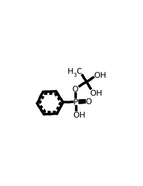 CC(O)(O)OP(=O)(O)c1ccccc1